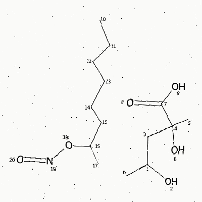 CC(O)CC(C)(O)C(=O)O.CCCCCCC(C)ON=O